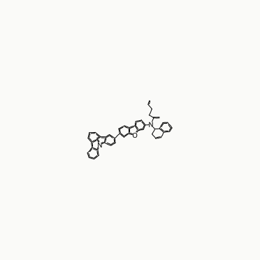 C=CCCC(=C)N(c1ccc2c(c1)oc1cc(-c3ccc4c(c3)c3cccc5c6ccccc6n4c53)ccc12)C1CC=Cc2ccccc21